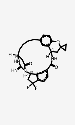 CC[C@]12CCCCc3ccc4c(c3)[C@H](CC3(CC3)O4)NC(=O)c3ccc4c(c3)[C@@H](CC4(F)F)N(C(=N)N1)C(=O)C2